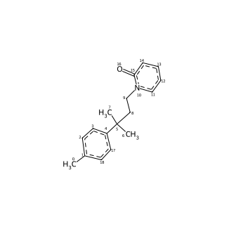 Cc1ccc(C(C)(C)CCn2ccccc2=O)cc1